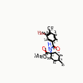 COC(=O)C1(NC(=O)c2ccc(C(F)(F)F)c(Br)c2)CCC(C)CC1